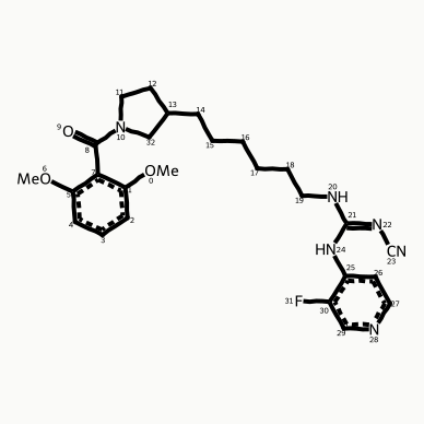 COc1cccc(OC)c1C(=O)N1CCC(CCCCCCNC(=NC#N)Nc2ccncc2F)C1